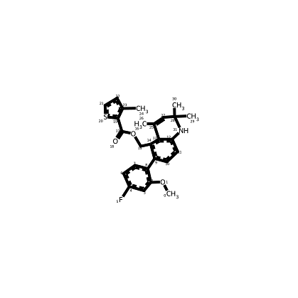 COc1cc(F)ccc1-c1ccc2c(c1COC(=O)c1sccc1C)C(C)=CC(C)(C)N2